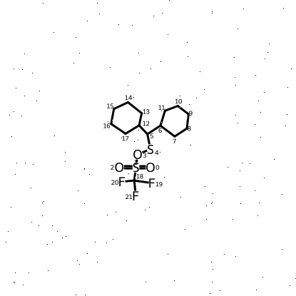 O=S(=O)(OSC(C1CCCCC1)C1CCCCC1)C(F)(F)F